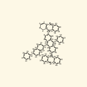 C1=CC2=C(CC1)N(c1ccc3c(-c4ccc5cc(-c6ccccc6)ccc5c4)c4cc(N5c6ccccc6Sc6ccccc65)ccc4c(-c4ccccc4)c3c1)c1ccccc1S2